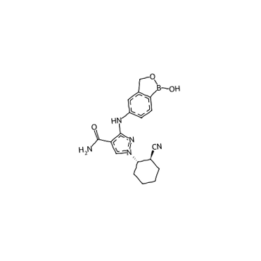 N#C[C@H]1CCCC[C@@H]1n1cc(C(N)=O)c(Nc2ccc3c(c2)COB3O)n1